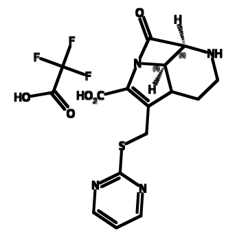 O=C(O)C(F)(F)F.O=C(O)C1=C(CSc2ncccn2)C2CCN[C@@H]3C(=O)N1[C@H]23